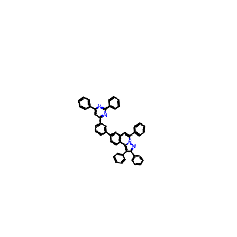 c1ccc(-c2cc(-c3cccc(-c4ccc5c(c4)cc(-c4ccccc4)n4nc(-c6ccccc6)c(-c6ccccc6)c54)c3)nc(-c3ccccc3)n2)cc1